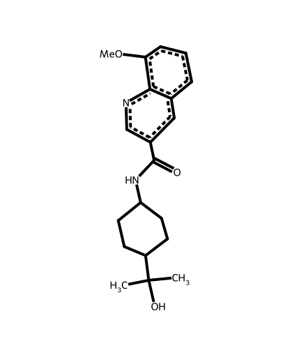 COc1cccc2cc(C(=O)NC3CCC(C(C)(C)O)CC3)cnc12